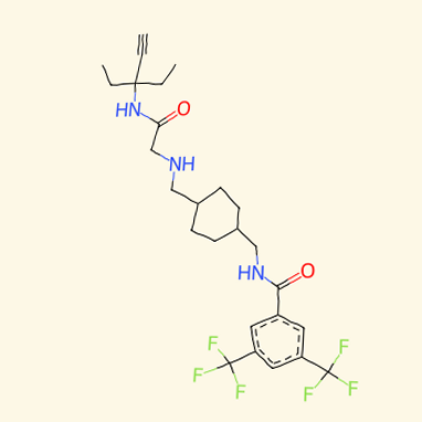 C#CC(CC)(CC)NC(=O)CNCC1CCC(CNC(=O)c2cc(C(F)(F)F)cc(C(F)(F)F)c2)CC1